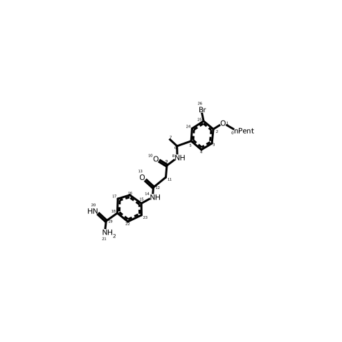 CCCCCOc1ccc(C(C)NC(=O)CC(=O)Nc2ccc(C(=N)N)cc2)cc1Br